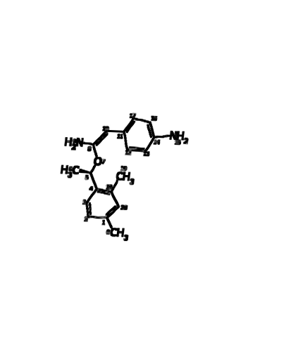 Cc1ccc([C@@H](C)O/C(N)=C\c2ccc(N)cc2)c(C)c1